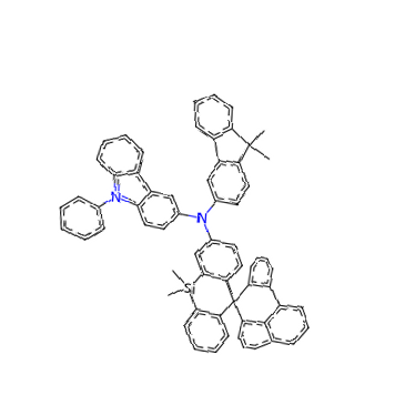 CC1(C)c2ccccc2-c2cc(N(c3ccc4c(c3)[Si](C)(C)c3ccccc3C43c4ccccc4-c4cccc5cccc3c45)c3ccc4c(c3)c3ccccc3n4-c3ccccc3)ccc21